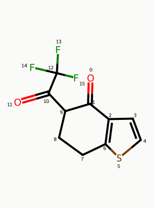 O=C1c2ccsc2CCC1C(=O)C(F)(F)F